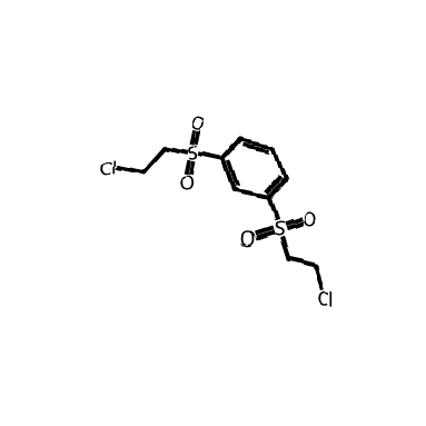 O=S(=O)(CCCl)c1cccc(S(=O)(=O)CCCl)c1